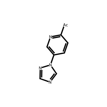 CC(=O)c1ccc(-n2cncn2)cn1